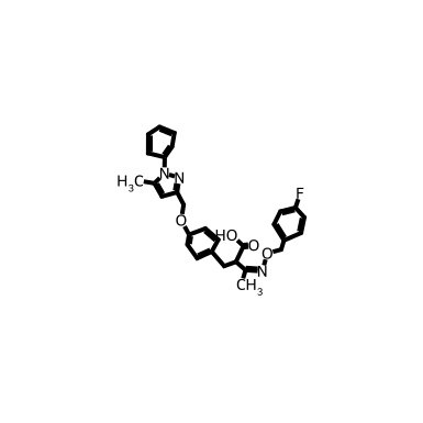 CC(=NOCc1ccc(F)cc1)C(Cc1ccc(OCc2cc(C)n(-c3ccccc3)n2)cc1)C(=O)O